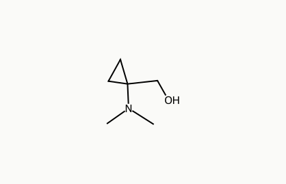 CN(C)C1(CO)CC1